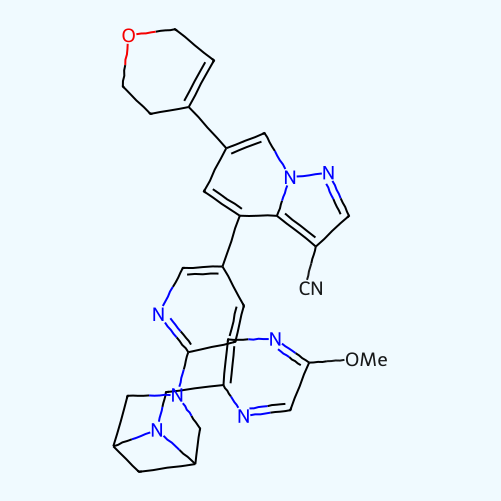 COc1cnc(CN2C3CC2CN(c2ccc(-c4cc(C5=CCOCC5)cn5ncc(C#N)c45)cn2)C3)cn1